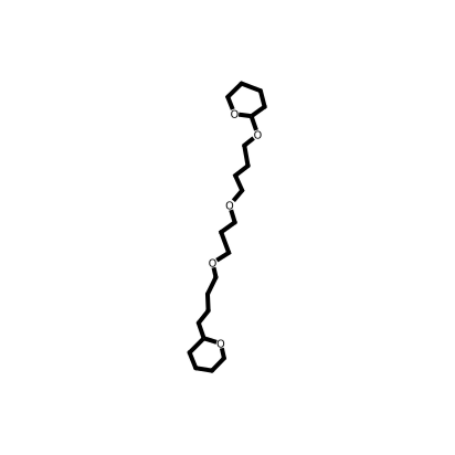 C(CCOC1CCCCO1)COCCCOCCCCC1CCCCO1